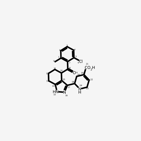 Cc1cccc(Cl)c1C(=O)C1CCCc2[nH]nc(C3CC(C(=O)O)=CCN3)c21